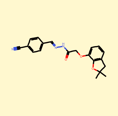 CC1(C)Cc2cccc(OCC(=O)N/N=C/c3ccc(C#N)cc3)c2O1